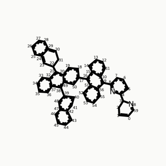 C1=CCC(c2cccc(-c3c4ccccc4c(-c4ccc5c(C6C=c7ccccc7=CC6)c6ccccc6c(-c6ccc7ccccc7c6)c5c4)c4ccccc34)n2)N=C1